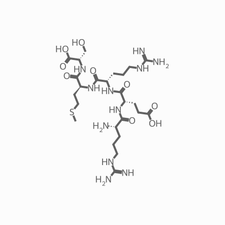 CSCC[C@H](NC(=O)[C@H](CCCNC(=N)N)NC(=O)[C@H](CCC(=O)O)NC(=O)[C@@H](N)CCCNC(=N)N)C(=O)N[C@@H](CO)C(=O)O